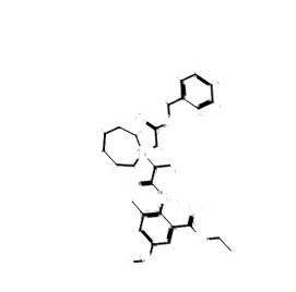 CCOC(=O)c1cc(OC)cc(C)c1NC(=O)C(C)[N+]1(CC(=O)OCc2ccccc2)CCCCCC1